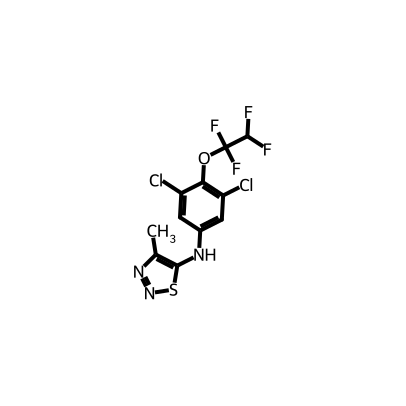 Cc1nnsc1Nc1cc(Cl)c(OC(F)(F)C(F)F)c(Cl)c1